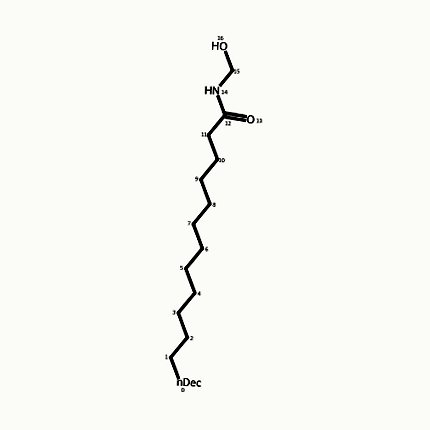 CCCCCCCCCCCCCCCCCCCCCC(=O)NCO